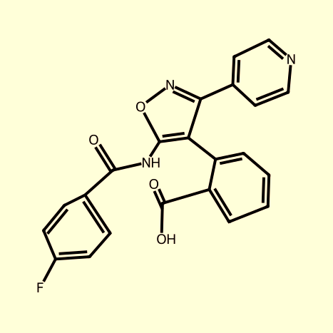 O=C(Nc1onc(-c2ccncc2)c1-c1ccccc1C(=O)O)c1ccc(F)cc1